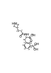 O=C(CSC1CNC1)N[C@H]1Cc2cccc(C(O)O)c2OB1O